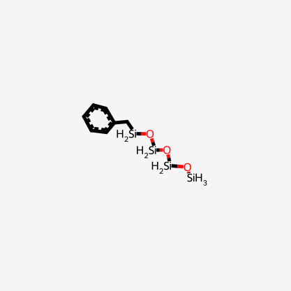 [SiH3]O[SiH2]O[SiH2]O[SiH2]Cc1ccccc1